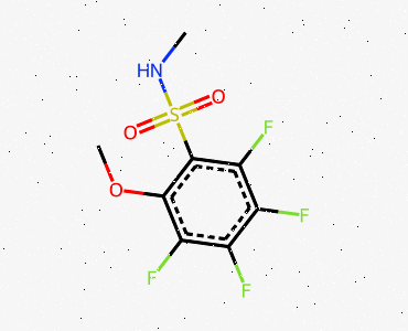 CNS(=O)(=O)c1c(F)c(F)c(F)c(F)c1OC